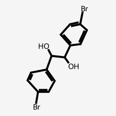 OC(c1ccc(Br)cc1)C(O)c1ccc(Br)cc1